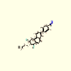 CCC[C@H]1C(F)c2ccc3cc(-c4ccc(C#N)cc4)ccc3c2C[C@@H]1F